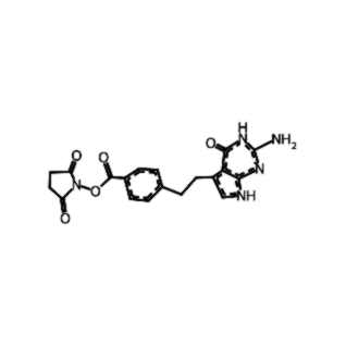 Nc1nc2[nH]cc(CCc3ccc(C(=O)ON4C(=O)CCC4=O)cc3)c2c(=O)[nH]1